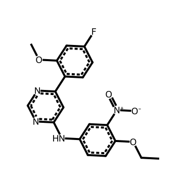 CCOc1ccc(Nc2cc(-c3ccc(F)cc3OC)ncn2)cc1[N+](=O)[O-]